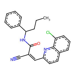 CCCC(NC(=O)C(C#N)=Cc1ccc2cccc(Cl)c2n1)c1ccccc1